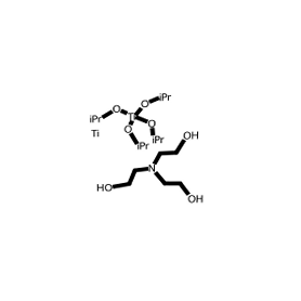 CC(C)[O][Ti]([O]C(C)C)([O]C(C)C)[O]C(C)C.OCCN(CCO)CCO.[Ti]